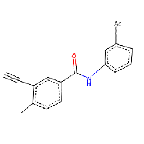 C#Cc1cc(C(=O)Nc2cccc(C(C)=O)c2)ccc1C